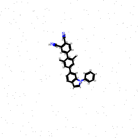 Cc1cc(-c2ccc3ccn(-c4ccccc4)c3c2)cc(C)c1-c1ccc(C#N)c(C#N)c1